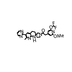 COc1cc(CC(=O)N2CC[C@@]3(CCc4cc(-c5ncccn5)c(C)nc4N3)C2)cc(OC(F)F)n1